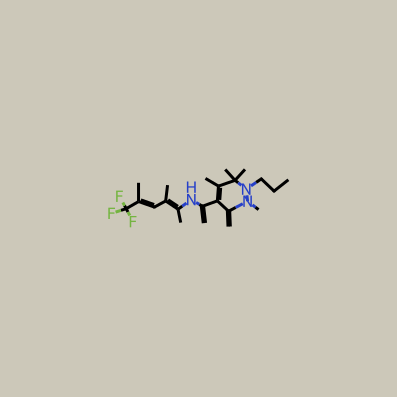 C=C(N/C(C)=C(C)/C=C(\C)C(F)(F)F)C1=C(C)C(C)(C)N(CCC)N(C)C1=C